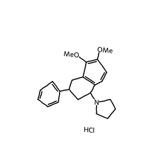 COc1ccc2c(c1OC)CC(c1ccccc1)CC2N1CCCC1.Cl